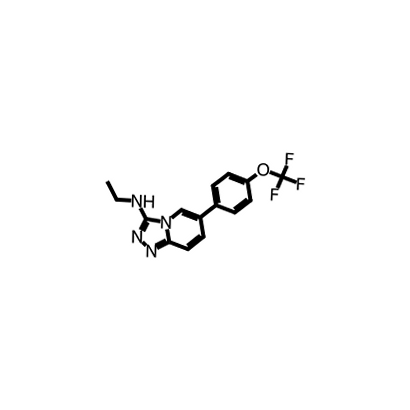 CCNc1nnc2ccc(-c3ccc(OC(F)(F)F)cc3)cn12